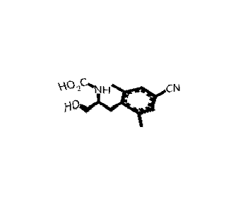 Cc1cc(C#N)cc(C)c1CC(CO)NC(=O)O